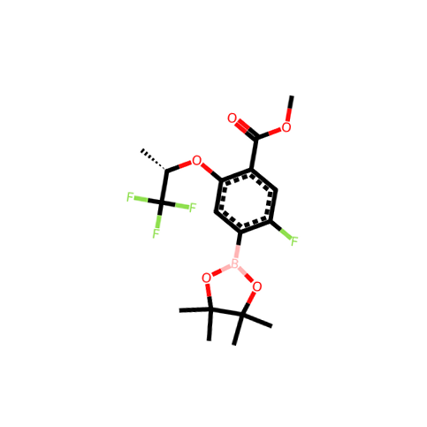 COC(=O)c1cc(F)c(B2OC(C)(C)C(C)(C)O2)cc1O[C@@H](C)C(F)(F)F